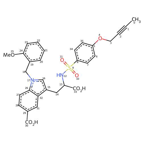 CC#CCOc1ccc(S(=O)(=O)NC(Cc2cn(Cc3ccccc3OC)c3ccc(C(=O)O)cc23)C(=O)O)cc1